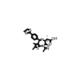 Cc1sc2c(c1C)C(c1ccc(-c3nccs3)cc1)=NC([C@H](C)C(=O)O)c1nnc(C)n1-2